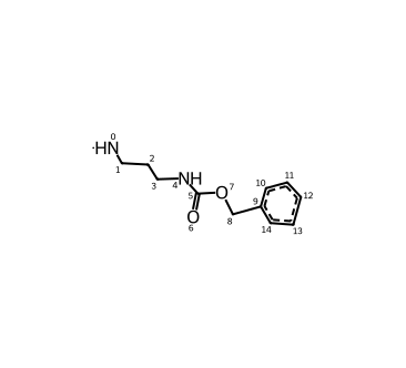 [NH]CCCNC(=O)OCc1ccccc1